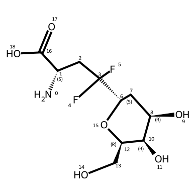 N[C@@H](CC(F)(F)[C@@H]1C[C@@H](O)[C@@H](O)[C@@H](CO)O1)C(=O)O